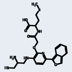 CSCCC(NC(=O)COc1nc(-c2occ3ccccc23)ccc1NCC(N)CS)C(=O)O